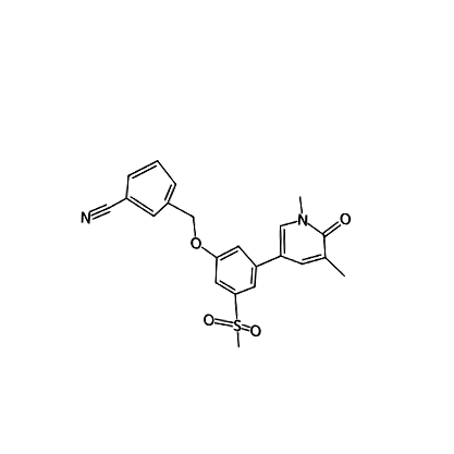 Cc1cc(-c2cc(OCc3cccc(C#N)c3)cc(S(C)(=O)=O)c2)cn(C)c1=O